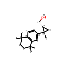 CC1(C)CCC(C)(C)c2cc([C@@]3(C)C[C@H]3CO)ccc21